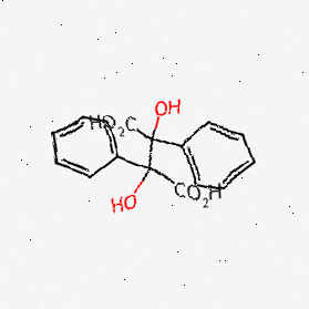 O=C(O)C(O)(c1ccccc1)C(O)(C(=O)O)c1ccccc1